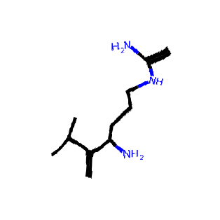 C=C(N)NCCCC(N)C(=C)C(C)C